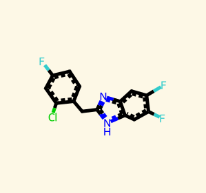 Fc1ccc(Cc2nc3cc(F)c(F)cc3[nH]2)c(Cl)c1